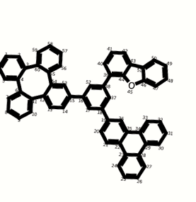 c1ccc2c(c1)-c1ccccc1-c1ccc(-c3cc(-c4ccc5c6ccccc6c6ccccc6c5c4)cc(-c4cccc5c4oc4ccccc45)c3)cc1-c1ccccc1-2